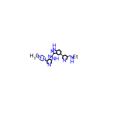 CCNCc1cncc(-c2ccc3[nH]nc(-c4nc5c(N6CCN(C)CC6)cncc5[nH]4)c3c2)c1